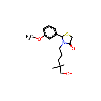 CC(C)(CO)CCCN1C(=O)CSC1c1cccc(OC(F)(F)F)c1